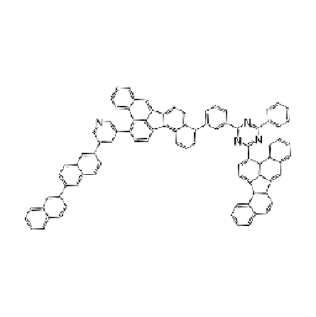 c1ccc(-c2nc(-c3cccc(-c4cccc5c6c(ccc45)-c4cc5ccccc5c5c(-c7cncc(-c8ccc9cc(-c%10ccc%11ccccc%11c%10)ccc9c8)c7)ccc-6c45)c3)nc(-c3ccc4c5c(cc6ccccc6c35)-c3ccc5ccccc5c3-4)n2)cc1